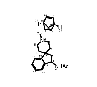 CC(=O)NC1CC2(CCN(C[C@H]3C[C@H]4C=C[C@H]3C4)CC2)c2ccccc21